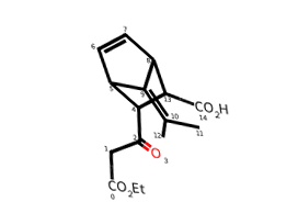 CCOC(=O)CC(=O)C1C2C=CC(C2=C(C)C)C1C(=O)O